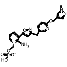 Cn1cc(COc2ccc(Cc3cc(-c4ccc[n+](COP(=O)([O-])O)c4N)on3)cn2)cn1